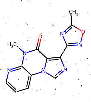 Cc1nc(-c2ncn3c2c(=O)n(C)c2ncccc23)no1